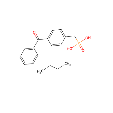 CCCC.O=C(c1ccccc1)c1ccc(CP(=O)(O)O)cc1